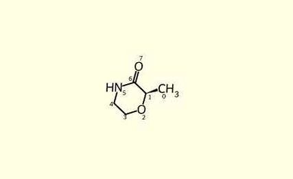 C[C@H]1OCCNC1=O